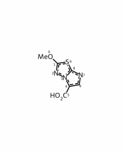 COc1nn2c(C(=O)O)cnc2s1